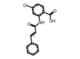 O=C(/C=C/c1ccccc1)Nc1cc(Cl)ccc1C(=O)O